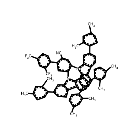 Cc1ccc(-c2ccc3c4ccc(-c5ccc(C)cc5C)cc4n(-c4cc(C#N)c(-c5ccc(C(F)(F)F)cc5C(F)(F)F)cc4-n4c5cc(-c6ccc(C)cc6C)ccc5c5ccc(-c6ccc(C)cc6C)cc54)c3c2)c(C)c1